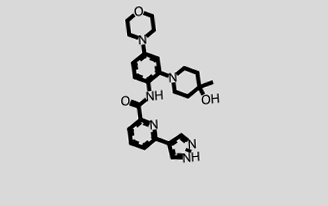 CC1(O)CCN(c2cc(N3CCOCC3)ccc2NC(=O)c2cccc(-c3cn[nH]c3)n2)CC1